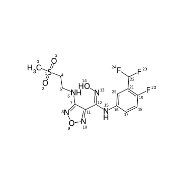 CS(=O)(=O)CCNc1nonc1C(=NO)Nc1ccc(F)c(C(F)F)c1